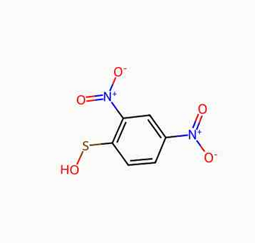 O=[N+]([O-])c1ccc(SO)c([N+](=O)[O-])c1